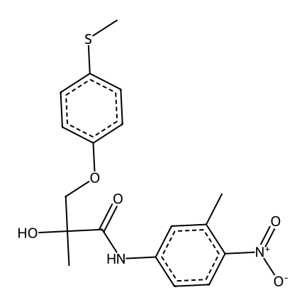 CSc1ccc(OCC(C)(O)C(=O)Nc2ccc([N+](=O)[O-])c(C)c2)cc1